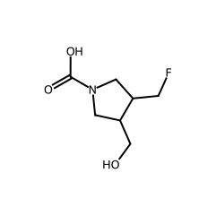 O=C(O)N1CC(CO)C(CF)C1